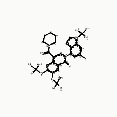 [2H]C([2H])([2H])Oc1cc2c(C(=O)N3CCCCC3)cn(-c3cc(F)cc4c3ccn4C([2H])([2H])[2H])c(=O)c2cc1OC([2H])([2H])[2H]